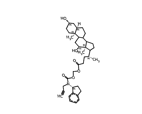 C#CCN(C(=O)OCOC(=O)CC[C@@H](C)C1CCC2C3CC[C@@H]4C[C@H](O)CC[C@]4(C)C3C[C@H](O)[C@@]21C)[C@@H]1CCc2ccccc21